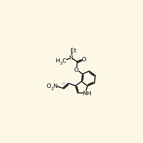 CCN(C)C(=O)Oc1cccc2[nH]cc(/C=C/[N+](=O)[O-])c12